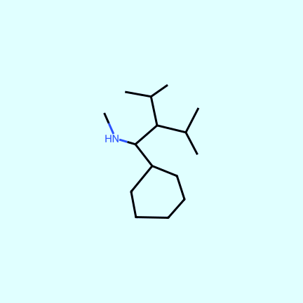 CNC(C1CCCCC1)C(C(C)C)C(C)C